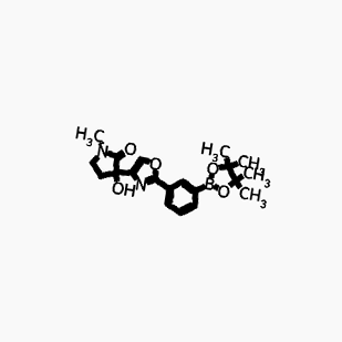 CN1CCC(O)(c2coc(-c3cccc(B4OC(C)(C)C(C)(C)O4)c3)n2)C1=O